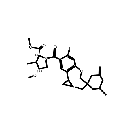 C=C1CC(C)CC(CC)(COc2cc(F)c(C(=O)N3C[C@H](OC)C(C)[C@H]3C(=O)OC)cc2C2CC2)C1